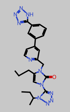 CCCc1cn(-c2nnnn2C(C)CC)c(=O)n1Cc1cc(-c2cccc(-c3nnn[nH]3)c2)ccn1